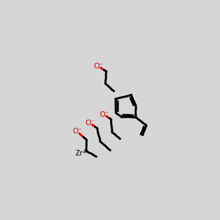 C=Cc1ccccc1.CCC[O-].CCC[O-].CCC[O-].CCC[O-].[Zr+4]